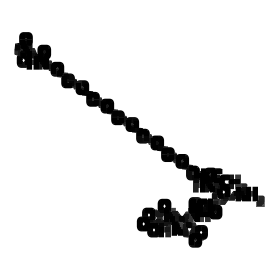 CC(C)[C@H](NC(=O)CCOCCOCCOCCOCCOCCOCCOCCOCCOCCOCCOCCOCCNC(=O)CCN1C(=O)C=CC1=O)C(=O)C[C@@H](CCCCN)C(=O)NCC(=O)NCc1c2c(nc3cc4c(cc13)OCO4)-c1cc3c(c(=O)n1C2)COC(=O)[C@H]3O